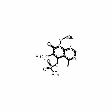 CCCCOn1c(=O)c(C(=O)OCC)c(OS(=O)(=O)C(F)(F)F)c2c(C)ncnc21